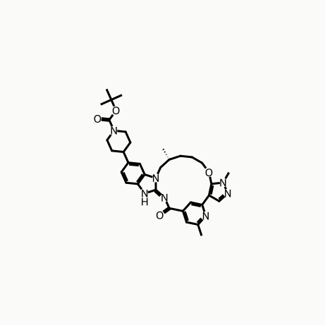 Cc1cc2cc(n1)-c1cnn(C)c1OCCC[C@@H](C)CN1/C(=N/C2=O)Nc2ccc(C3CCN(C(=O)OC(C)(C)C)CC3)cc21